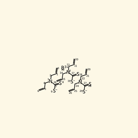 C=CCN(CC=C)C(=S)[S-].C=CCN(CC=C)C(=S)[S-].C=CCN(CC=C)C(=S)[S-].[B+3]